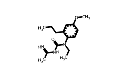 CCCc1cc(OC)ccc1N(CC)C(=O)NC(=N)N